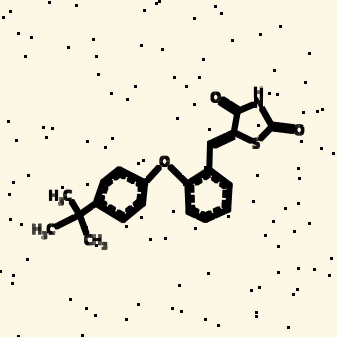 CC(C)(C)c1ccc(Oc2ccccc2/C=C2\SC(=O)NC2=O)cc1